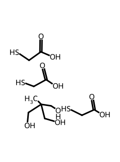 CC(CO)(CO)CO.O=C(O)CS.O=C(O)CS.O=C(O)CS